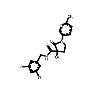 O=C(NCc1cc(F)cc(Cl)c1)C1(O)CCN(c2ccc(C(F)(F)F)nc2)C1=O